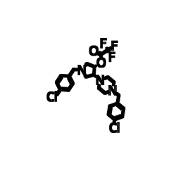 O=C(O[C@H]1CN(Cc2ccc(Cl)cc2)C[C@@H]1N1CCN(Cc2ccc(Cl)cc2)CC1)C(F)(F)F